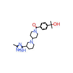 Cc1n[nH]c(C2CCCN(C3CCN(C(=O)c4ccc(C(C)(C)O)cc4)CC3)C2)n1